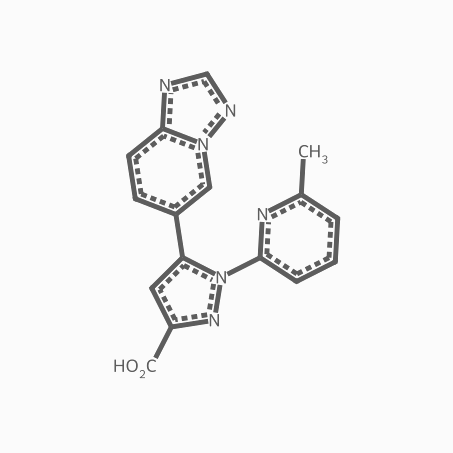 Cc1cccc(-n2nc(C(=O)O)cc2-c2ccc3ncnn3c2)n1